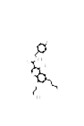 O=C(NCc1ccc(Cl)cc1)c1cnc2c(OCCO)cc(CCCO)cc2c1O